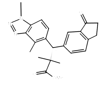 COC(=O)C(C)(C)[C@@H](c1ccc2c(c1)C(=O)CC2)c1ccc2c(nnn2C)c1C